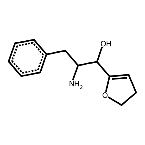 NC(Cc1ccccc1)C(O)C1=CCCO1